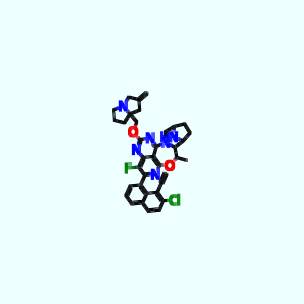 C#Cc1c(Cl)ccc2cccc(-c3nc4c5c(nc(OCC67CCCN6CC(=C)C7)nc5c3F)N3CC5CCC(N5)C3C(C)O4)c12